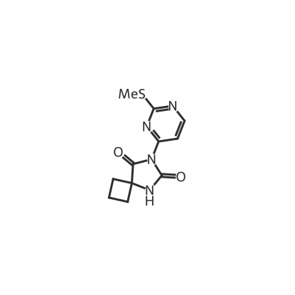 CSc1nccc(N2C(=O)NC3(CCC3)C2=O)n1